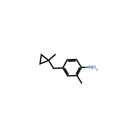 Cc1cc(CC2(C)CC2)ccc1N